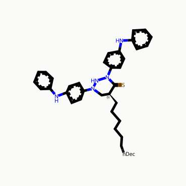 CCCCCCCCCCCCCCCC[C@H]1CN(c2ccc(Nc3ccccc3)cc2)NN(c2ccc(Nc3ccccc3)cc2)C1=S